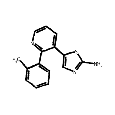 Nc1ncc(-c2cccnc2-c2ccccc2C(F)(F)F)s1